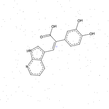 O=C(O)/C(=C\c1c[nH]c2ncccc12)c1ccc(O)c(O)c1